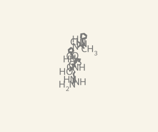 Cc1nn(-c2ccccc2)c(Cl)c1CNc1cccc(S(=O)(=O)Nc2ccsc2C(=O)N[C@@H](CCCNC(=N)N)C(=O)O)c1